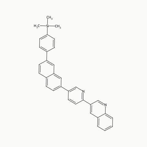 C[Si](C)(C)c1ccc(-c2ccc3ccc(-c4ccc(-c5cnc6ccccc6c5)nc4)cc3c2)cc1